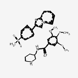 COc1cc(C(=O)NC2CCCNC2)cc(OC)c1OC.CS(=O)(=O)c1ccc(-c2cn3ccccc3n2)cc1